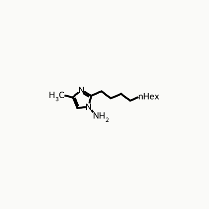 CCCCCCCCCCc1nc(C)cn1N